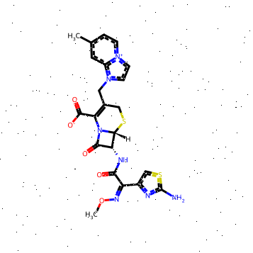 CO/N=C(\C(=O)N[C@@H]1C(=O)N2C(C(=O)[O-])=C(Cn3cc[n+]4ccc(C)cc34)CS[C@H]12)c1csc(N)n1